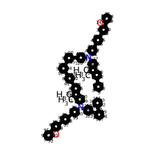 CC1(C)c2cc(-c3ccccc3)ccc2-c2ccc(N(c3ccc(-c4ccc(-c5ccc6c(c5)oc5ccccc56)cc4)cc3)c3ccc(-c4cccc(-c5cccc(-c6ccc(-c7ccc8c(c7)C(C)(C)c7cc(N(c9ccc(-c%10ccc(-c%11ccc%12c(c%11)oc%11ccccc%11%12)cc%10)cc9)c9ccc(-c%10ccccc%10-c%10ccccc%10)cc9)ccc7-8)cc6)c5)c4)cc3)cc21